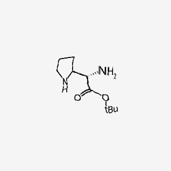 CC(C)(C)OC(=O)[C@@H](N)C1CCCN1